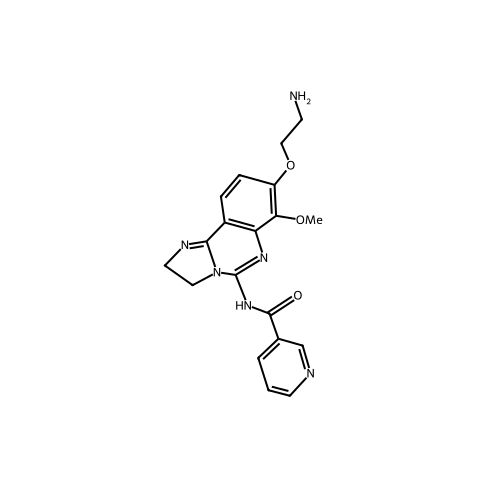 COc1c(OCCN)ccc2c1N=C(NC(=O)c1cccnc1)N1CCN=C21